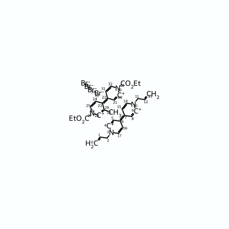 C=CCN1[C+]=CC(=C2C=[C+]N(CC=C)C=C2)C=C1.CCOC(=O)N1[C+]=CC(=C2C=CN(C(=O)OCC)[C+]=C2C)C=C1.[Br-].[Br-].[Br-].[Br-]